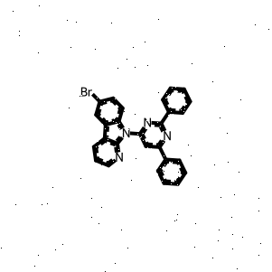 Brc1ccc2c(c1)c1cccnc1n2-c1cc(-c2ccccc2)nc(-c2ccccc2)n1